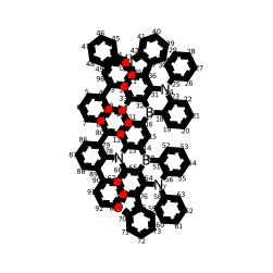 c1ccc(-c2ccccc2N2c3cc4c(cc3B3c5ccccc5N(c5ccccc5)c5c3c2cc2c5c3ccccc3n2-c2ccccc2)B2c3ccccc3N(c3ccccc3)c3c2c(cc2oc5ccccc5c32)N4c2c(-c3ccccc3)cccc2-c2ccccc2)cc1